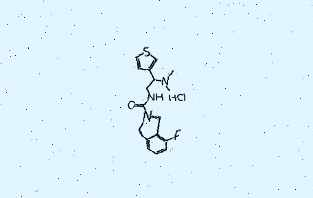 CN(C)C(CNC(=O)N1Cc2cccc(F)c2C1)c1ccsc1.Cl